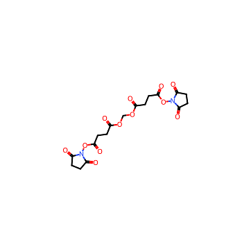 O=C(CCC(=O)ON1C(=O)CCC1=O)OCOC(=O)CCC(=O)ON1C(=O)CCC1=O